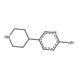 CCCc1ccc(C2CCNCC2)cn1